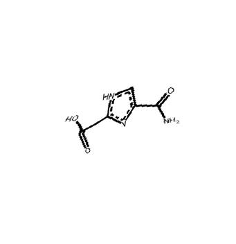 NC(=O)c1c[nH]c(C(=O)O)n1